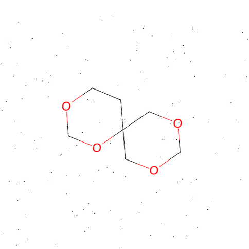 C1CC2(COCOC2)OCO1